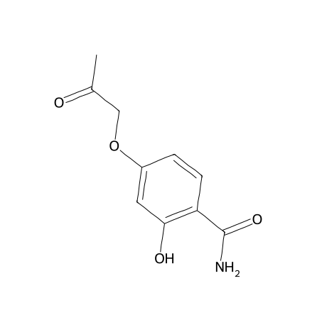 CC(=O)COc1ccc(C(N)=O)c(O)c1